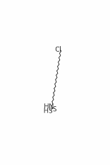 S=C(S)NCCCCCCCCCCCCCCCCCCCCCCCCCCl